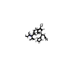 C=C(C)/C(=C(/C)CC)c1cnc2c(Cl)cn(C(CC#N)C3CCCC3)c2c1